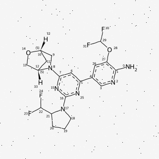 Nc1ncc(-c2cc(N3C[C@@H]4C[C@H]3CO4)nc(N3CCCC3C(F)F)n2)cc1OC(F)F